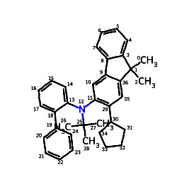 CC1(C)c2ccccc2-c2cc(N(c3ccccc3-c3ccccc3)C(C)(C)C)c(C3CCCC3)cc21